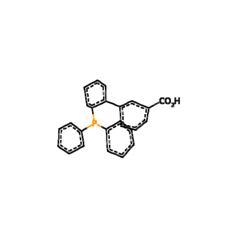 O=C(O)c1cccc(-c2ccccc2P(c2ccccc2)c2ccccc2)c1